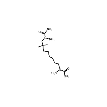 CC(C)(CCCCCCN(N)C(N)=O)CN(N)C(N)=O